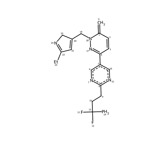 C=C1C=CC(c2cnc(CCC(F)(F)P)nc2)=NN1CC1=CC(CC)=NC1